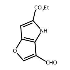 CCOC(=O)c1cc2occ(C=O)c2[nH]1